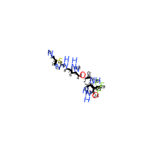 C[C@@H](COCc1cc(CNc2ncc(C#N)s2)[nH]n1)Nc1cn[nH]c(=O)c1C(F)(F)F